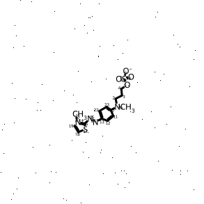 CN(CCCOS(=O)(=O)[O-])c1ccc(N=Nc2scc[n+]2C)cc1